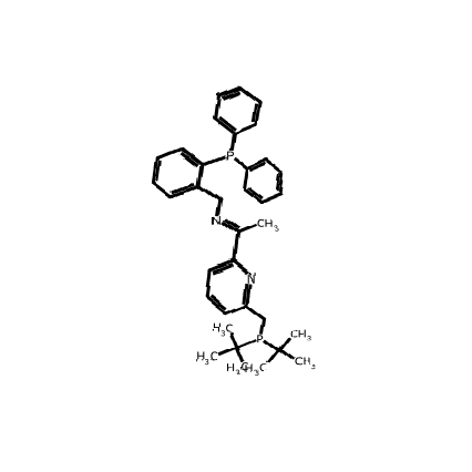 C/C(=N\Cc1ccccc1P(c1ccccc1)c1ccccc1)c1cccc(CP(C(C)(C)C)C(C)(C)C)n1